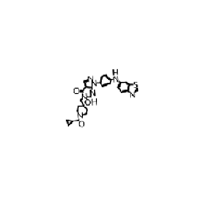 O=C(C1CC1)N1CCC(O)(Cn2cnc3c(cnn3-c3ccc(Nc4ccc5ncsc5c4)cc3)c2=O)CC1